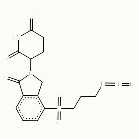 [N-]=[N+]=NCCCS(=O)(=O)c1cccc2c1CN(C1CCC(=O)NC1=O)C2=O